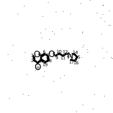 O=c1ccoc2cc(OCCCCN3CCCC3)ccc12